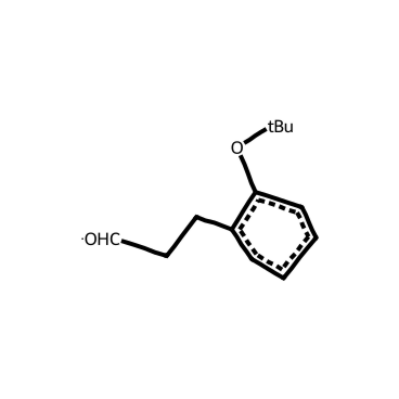 CC(C)(C)Oc1ccccc1CC[C]=O